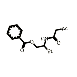 CCC(COC(=O)c1ccccc1)NC(=O)CC(C)=O